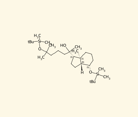 CC(C)(CCCC(C)(O)[C@H]1CC[C@H]2[C@@H](O[Si](C)(C)C(C)(C)C)CCC[C@]12C)O[Si](C)(C)C(C)(C)C